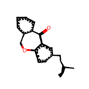 C=C(C)Cc1ccc2c(c1)C(=O)c1ccccc1CO2